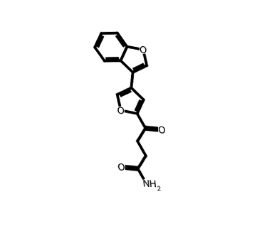 NC(=O)CCC(=O)c1cc(-c2coc3ccccc23)co1